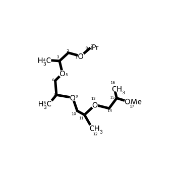 [CH2]C(C)OCC(C)OCC(C)OCC(C)OCC(C)OC